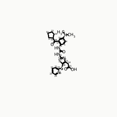 CN(C)c1ccc(NC(=O)Nc2nc(CC(=O)O)c(Sc3ccccn3)s2)c(C(=O)C2CCCC2)c1